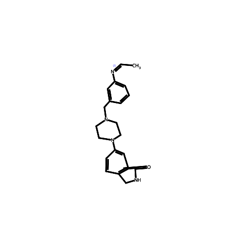 C/C=N\c1cccc(CN2CCN(c3ccc4c(c3)C(=O)NC4)CC2)c1